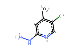 NNc1cc(C(=O)O)c(Cl)cn1